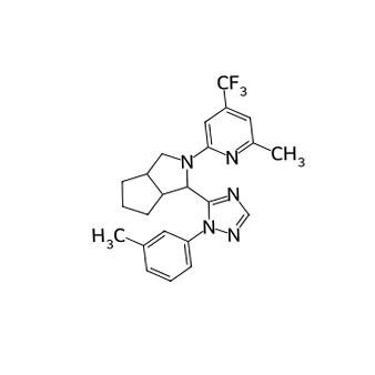 Cc1cccc(-n2ncnc2C2C3CCCC3CN2c2cc(C(F)(F)F)cc(C)n2)c1